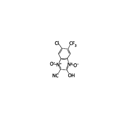 N#Cc1c(O)[n+]([O-])c2cc(C(F)(F)F)c(Cl)cc2[n+]1[O-]